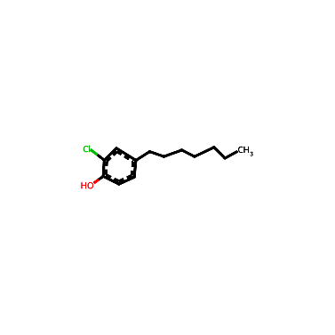 CCCCCCCc1ccc(O)c(Cl)c1